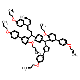 C#C/C=C\C(=C/CC(c1ccc(C(c2cc(-c3ccc(OCC=C)cc3)ccc2OCC=C)C2C=CC(c3ccc(OCC=C)cc3)=C2)cc1)c1cc(-c2ccc(OCC=C)cc2)ccc1OCC=C)c1ccc(OCC=C)cc1